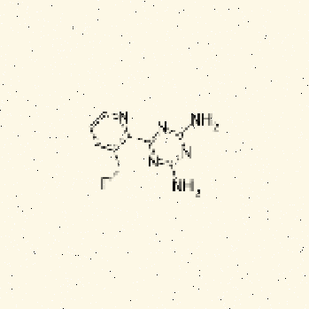 Nc1nc(N)nc(-c2ncccc2CF)n1